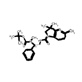 Cc1ccc2c(n1)C(C)(C)CN2C(=O)NC[C@H](c1ccccc1)N(C)C(=O)OC(C)(C)C